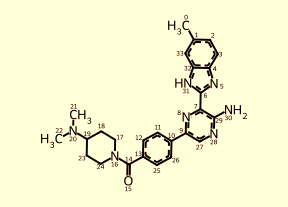 Cc1ccc2nc(-c3nc(-c4ccc(C(=O)N5CCC(N(C)C)CC5)cc4)cnc3N)[nH]c2c1